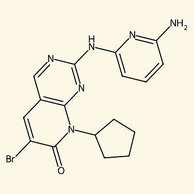 Nc1cccc(Nc2ncc3cc(Br)c(=O)n(C4CCCC4)c3n2)n1